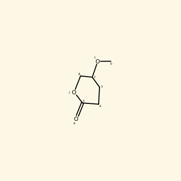 COC1CCC(=O)OC1